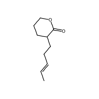 CC=CCCC1CCCOC1=O